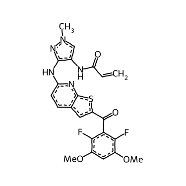 C=CC(=O)Nc1cn(C)nc1Nc1ccc2cc(C(=O)c3c(F)c(OC)cc(OC)c3F)sc2n1